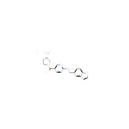 CC(=O)N(C)[C@H]1CCN(C(=O)c2ccc(NCc3ccc4[nH]ccc4c3)nc2)C1